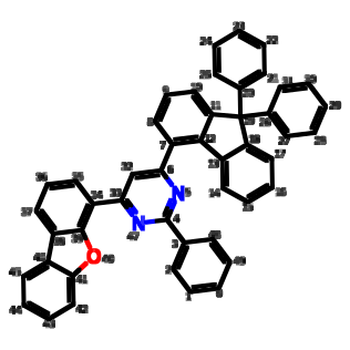 c1ccc(-c2nc(-c3cccc4c3-c3ccccc3C4(c3ccccc3)c3ccccc3)cc(-c3cccc4c3oc3ccccc34)n2)cc1